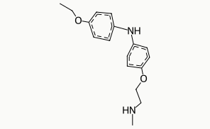 CCOc1ccc(Nc2ccc(OCCNC)cc2)cc1